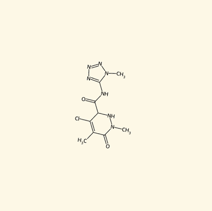 CC1=C(Cl)C(C(=O)Nc2nnnn2C)NN(C)C1=O